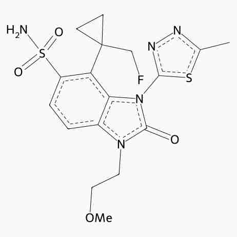 COCCn1c(=O)n(-c2nnc(C)s2)c2c(C3(CF)CC3)c(S(N)(=O)=O)ccc21